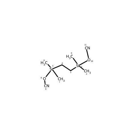 C[Si](C)(CC[Si](C)(C)OC#N)OC#N